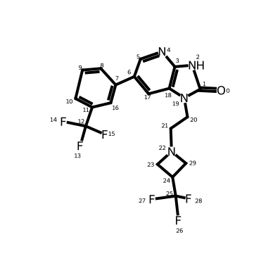 O=c1[nH]c2ncc(-c3cccc(C(F)(F)F)c3)cc2n1CCN1CC(C(F)(F)F)C1